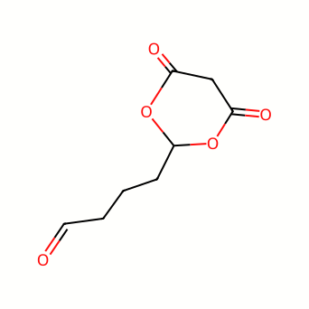 O=CCCCC1OC(=O)CC(=O)O1